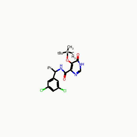 CC(C)C(NC(=O)c1nc[nH]c(=O)c1O[Si](C)(C)C(C)(C)C)c1cc(Cl)cc(Cl)c1